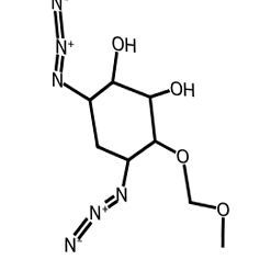 COCOC1C(N=[N+]=[N-])CC(N=[N+]=[N-])C(O)C1O